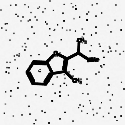 CNC(C)c1oc2ccccc2c1C